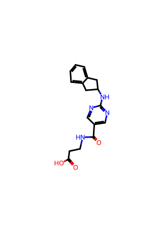 O=C(O)CCNC(=O)c1cnc(NC2Cc3ccccc3C2)nc1